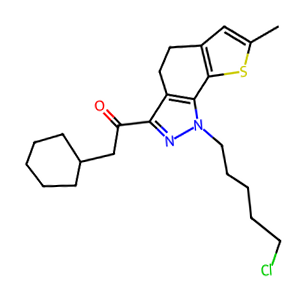 Cc1cc2c(s1)-c1c(c(C(=O)CC3CCCCC3)nn1CCCCCCl)CC2